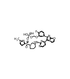 Cn1ccc(S(=O)(=O)N2CCCC(Nc3nccc(-c4c(-c5ccc(F)c(OCOP(=O)(O)O)c5)nc5occn45)n3)C2)n1